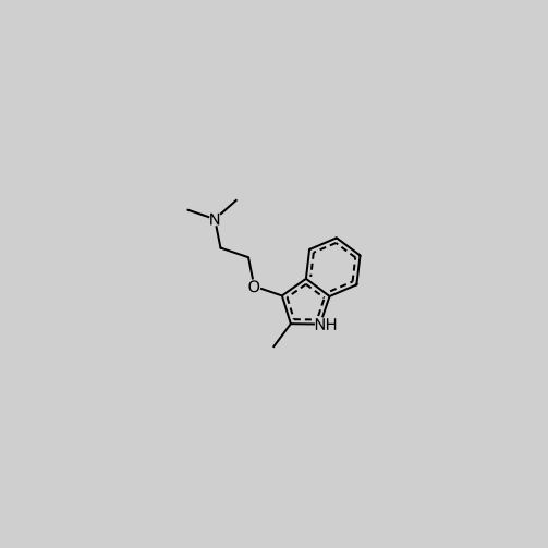 Cc1[nH]c2ccccc2c1OCCN(C)C